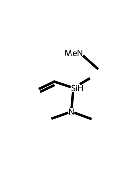 C=C[SiH](C)N(C)C.CNC